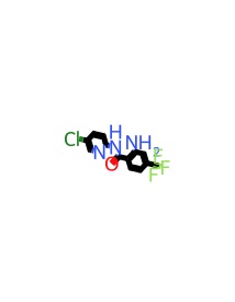 Nc1cc(C(F)(F)F)ccc1C(=O)Nc1ccc(Cl)cn1